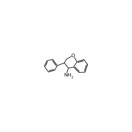 NC1c2ccccc2OCC1c1ccccc1